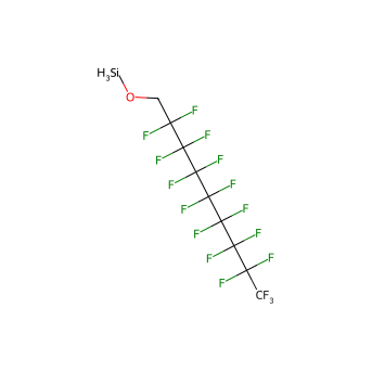 FC(F)(F)C(F)(F)C(F)(F)C(F)(F)C(F)(F)C(F)(F)C(F)(F)C(F)(F)CO[SiH3]